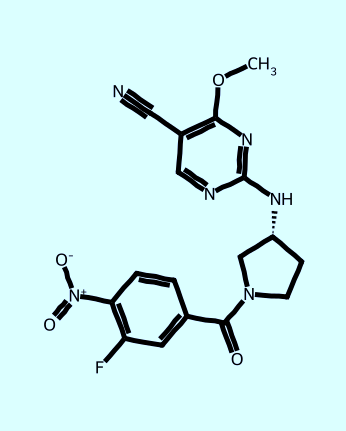 COc1nc(N[C@@H]2CCN(C(=O)c3ccc([N+](=O)[O-])c(F)c3)C2)ncc1C#N